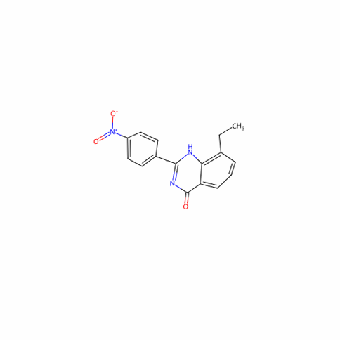 CCc1cccc2c(=O)nc(-c3ccc([N+](=O)[O-])cc3)[nH]c12